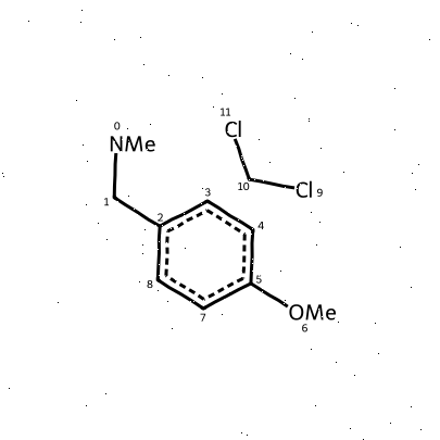 CNCc1ccc(OC)cc1.ClCCl